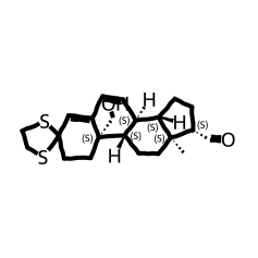 C[C@]12CC[C@H]3[C@@H](C=CC4=CC5(CC[C@@]43CO)SCCS5)[C@@H]1CC[C@@H]2C=O